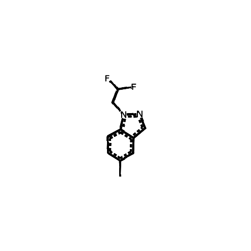 Cc1ccc2c(cnn2CC(F)F)c1